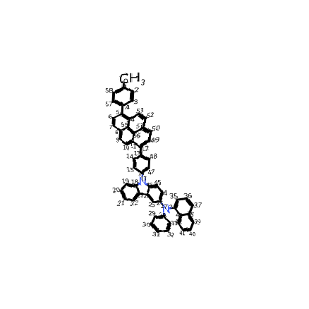 Cc1ccc(-c2ccc3ccc4c(-c5ccc(-n6c7ccccc7c7cc(N(c8ccccc8)c8cccc9ccccc89)ccc76)cc5)ccc5ccc2c3c54)cc1